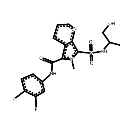 CC(CO)NS(=O)(=O)c1c2ncccc2c(C(=O)Nc2ccc(F)c(F)c2)n1C